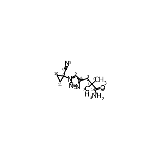 CC(C)([CH]c1cn(C2(C#N)CC2)nn1)C(N)=O